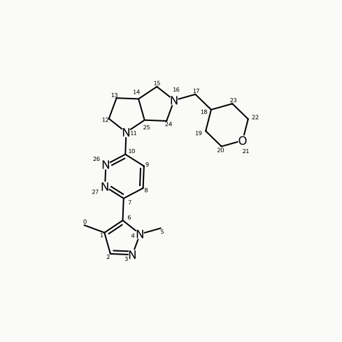 Cc1cnn(C)c1-c1ccc(N2CCC3CN(CC4CCOCC4)CC32)nn1